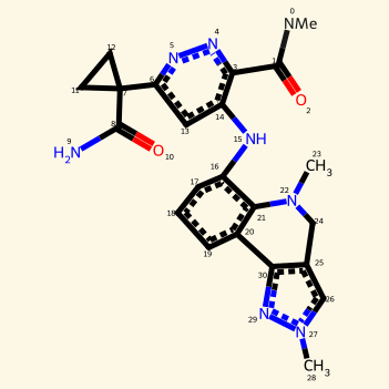 CNC(=O)c1nnc(C2(C(N)=O)CC2)cc1Nc1cccc2c1N(C)Cc1cn(C)nc1-2